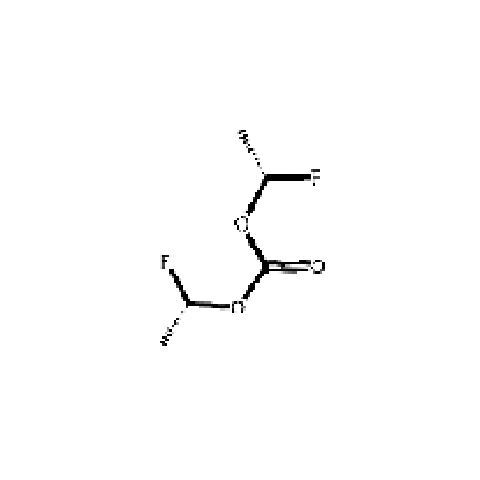 C[C@H](F)OC(=O)O[C@H](C)F